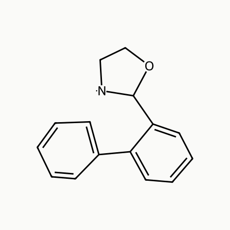 c1ccc(-c2ccccc2C2[N]CCO2)cc1